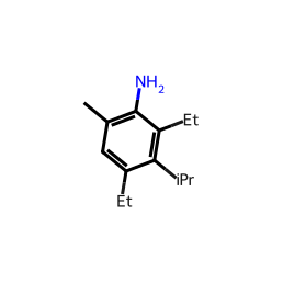 CCc1cc(C)c(N)c(CC)c1C(C)C